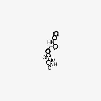 O=C1CCC(N2Cc3cc(C[C@H]4CCCC[C@@H]4NC4Cc5ccccc5C4)ccc3C2=O)C(=O)N1